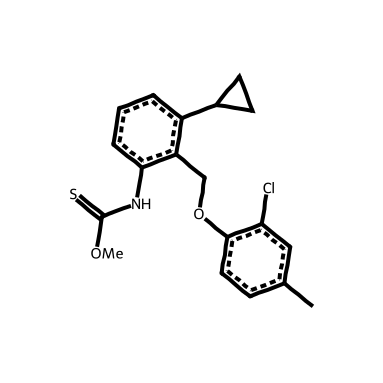 COC(=S)Nc1cccc(C2CC2)c1COc1ccc(C)cc1Cl